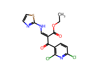 CCOC(=O)/C(=C\Nc1nccs1)C(=O)c1ccc(Cl)nc1Cl